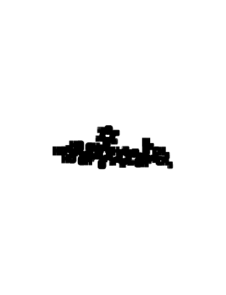 CC(C)C[C@H](N)B(O)Oc1ccc(C[C@H](NC(=O)N2CCOCC2)C(=O)OC[C@@H](O)[C@@H](O)[C@H](O)[C@H](O)CO)cc1